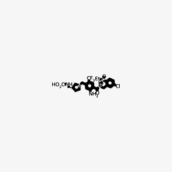 CCS(=O)(=O)c1ccc(Cl)cc1CNC(=O)c1cc(C(F)(F)F)c(CN2CC[C@H](CNC(=O)O)C2)cc1N